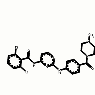 CN1CCN(C(=O)c2ccc(Nc3nccc(NC(=O)c4c(Cl)cccc4Cl)n3)cc2)CC1